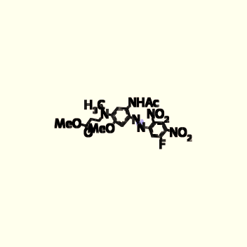 COC(=O)CCN(C)c1cc(NC(C)=O)c(/N=N/c2cc(F)c([N+](=O)[O-])cc2[N+](=O)[O-])cc1OC